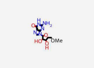 COCC1OC(n2cnc3c(=O)[nH]c(N)nc32)C(O)C1O